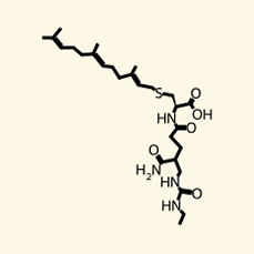 CCNC(=O)NCC(CCC(=O)N[C@@H](CSC/C=C(\C)CC/C=C(\C)CCC=C(C)C)C(=O)O)C(N)=O